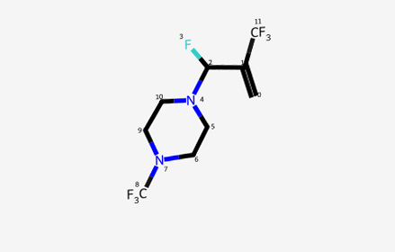 C=C(C(F)N1CCN(C(F)(F)F)CC1)C(F)(F)F